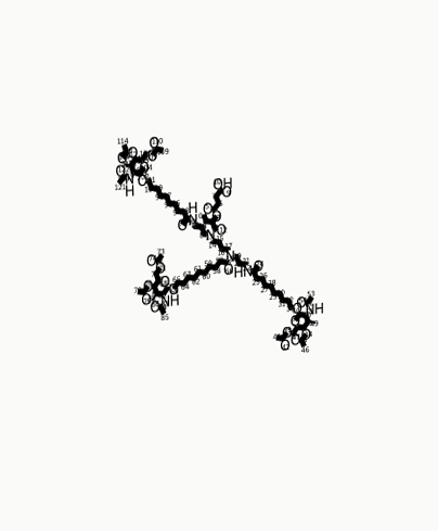 CCC(OC(=O)CCC(=O)O)C(=O)N(CCCCN(CCCNC(=O)CCCCCCCCCO[C@@H]1OC(COC(C)=O)[C@H](OC(C)=O)[C@H](C)C1NC(C)=O)C(=O)CCCCCCCCCO[C@@H]1OC(COC(C)=O)[C@H](OC(C)=O)[C@H](C)C1NC(C)=O)CCCNC(=O)CCCCCCCCCO[C@@H]1OC(COC(C)=O)[C@H](OC(C)=O)[C@H](C)C1NC(C)=O